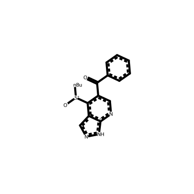 CCCC[S+]([O-])c1c(C(=O)c2ccccc2)cnc2[nH]ncc12